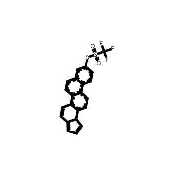 O=S(=O)(Oc1ccc2c(ccc3c4c(ccc32)C2C=CC=C2C=C4)c1)C(F)(F)F